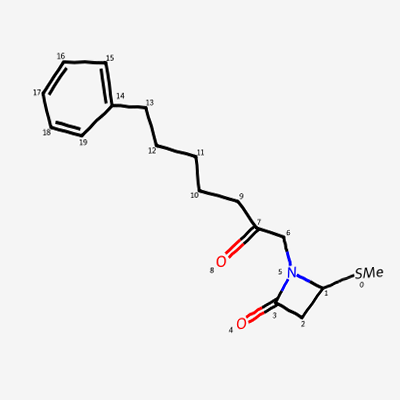 CSC1CC(=O)N1CC(=O)CCCCCc1ccccc1